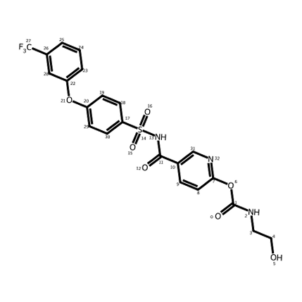 O=C(NCCO)Oc1ccc(C(=O)NS(=O)(=O)c2ccc(Oc3cccc(C(F)(F)F)c3)cc2)cn1